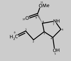 C=CCC1C(O)CN[C@H]1C(=O)OC